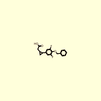 O=C(O)CC1CC1c1cc(F)c(OCc2ccccc2)c(F)c1